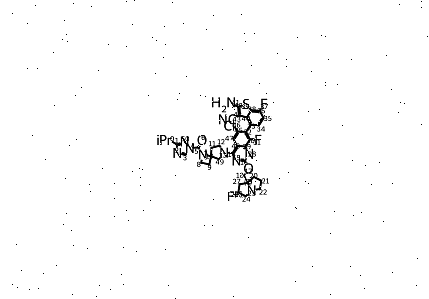 CC(C)c1ncn(C(=O)N2CCC23CCN(c2nc(OC[C@@]45CCCN4C[C@H](F)C5)nc4c(F)c(-c5ccc(F)c6sc(N)c(C#N)c56)c(Cl)cc24)C3)n1